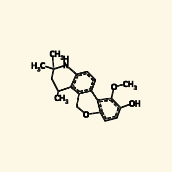 COc1c(O)ccc2c1-c1ccc3c(c1CO2)C(C)CC(C)(C)N3